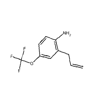 C=CCc1cc(OC(F)(F)F)ccc1N